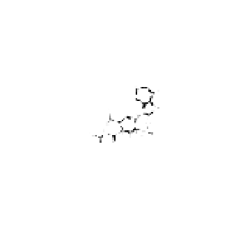 CS(=O)(=O)c1cc(C(=O)N=C(N)N)c(C(F)F)cc1-n1cnc2ccccc21